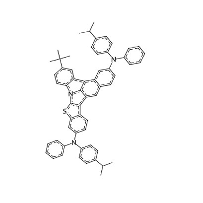 CC(C)c1ccc(N(c2ccccc2)c2ccc3c(c2)sc2c3c3cc4ccc(N(c5ccccc5)c5ccc(C(C)C)cc5)cc4c4c5cc(C(C)(C)C)ccc5n2c34)cc1